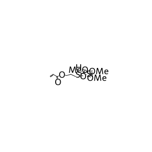 C=CC(=O)OCCC[SiH2]O[Si](OC)(OC)OC